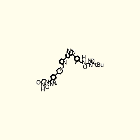 Cc1cc(-c2ncnn3cc(-c4cccc(CN5CCC(c6ccc7c(N8CCC(=O)NC8=O)nn(C)c7c6)CC5)n4)cc23)ccc1CNC(=O)c1noc(C(C)(C)C)n1